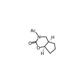 CC(=O)N1C[C@H]2CCC[C@H]2OC1=O